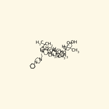 C=C(C)[C@@H]1CC[C@]2(CCN3CCN(c4ccccc4)CC3)CC[C@]3(C)[C@H](CC[C@@H]4[C@@]5(C)CC[C@H](OC(=O)CC(C)(C)CC(=O)O)C(C)(C)[C@@H]5CC[C@]43C)[C@@H]12